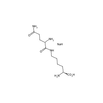 NC(=O)CCC(N)C(=O)NCCCC[C@H](N)C(=O)O.[NaH]